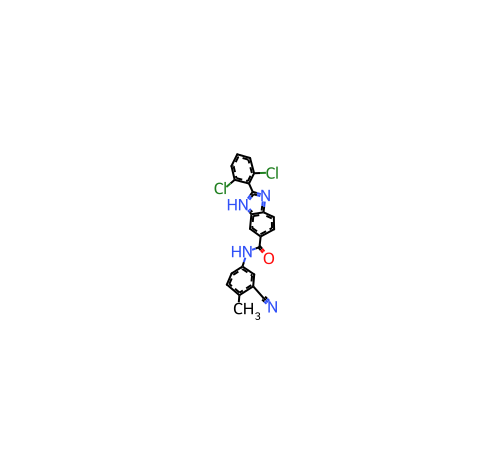 Cc1ccc(NC(=O)c2ccc3nc(-c4c(Cl)cccc4Cl)[nH]c3c2)cc1C#N